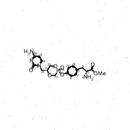 COC(=O)[C@@H](N)Cc1ccc(OP2(=O)CO[C@@H](Cn3ccc(N)nc3=O)CO2)cc1